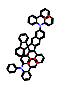 c1ccc(-c2ccccc2N(c2ccccc2)c2ccc3cc4c(cc3c2)C2(c3ccccc3-c3ccccc32)c2c-4c3ccccc3c3cc(N(c4ccccc4)c4ccccc4-c4ccccc4)ccc23)cc1